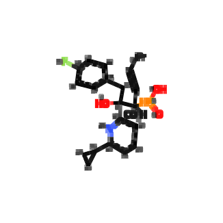 CC(C)C#CC(C(=O)O)([PH](=O)O)C(O)(Cc1ccc(F)cc1)c1cccc(C2CC2)n1